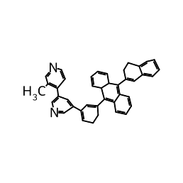 Cc1cnccc1-c1cncc(C2=CCCC(C3=c4ccccc4=C(C4=Cc5ccccc5CC4)C4C=CC=CC34)=C2)c1